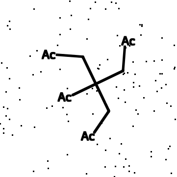 CC(=O)CC(CC(C)=O)(CC(C)=O)C(C)=O